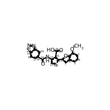 COc1cccc2cc(-c3scc(NC(=O)c4ccc5snnc5c4)c3C(=O)O)oc12